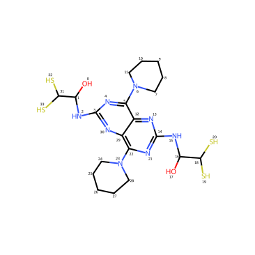 OC(Nc1nc(N2CCCCC2)c2nc(NC(O)C(S)S)nc(N3CCCCC3)c2n1)C(S)S